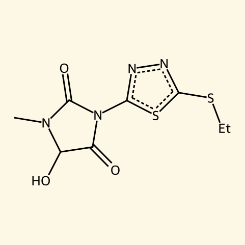 CCSc1nnc(N2C(=O)C(O)N(C)C2=O)s1